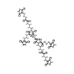 O=C(CCCN1C(=O)C=CC1=O)NCCCC[C@H](NC(=O)CCCN1C(=O)C=CC1=O)C(=O)NCCNC(=O)[C@H](CCCCNC(=O)CCCN1C(=O)C=CC1=O)NC(=O)CCCN1C(=O)C=CC1=O